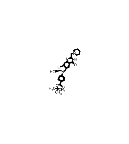 C#CCN(Cc1cc2c(=O)[nH]c(CN3CCCCC3)nc2cc1Cl)c1ccc(C(=O)OC(C)(C)C)cc1